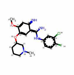 COC1=CC(=N)/C(=C(\N)Nc2ccc(F)c(Cl)c2)C=C1OC1CCCN(C)C1